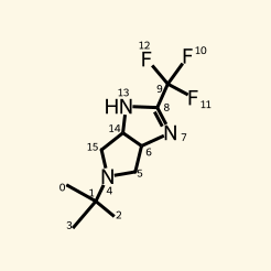 CC(C)(C)N1CC2N=C(C(F)(F)F)NC2C1